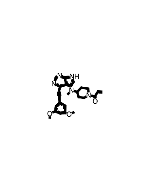 C=CC(=O)N1CCC(N(C)c2c[nH]c3ncnc(C#Cc4cc(OC)cc(OC)c4)c23)CC1